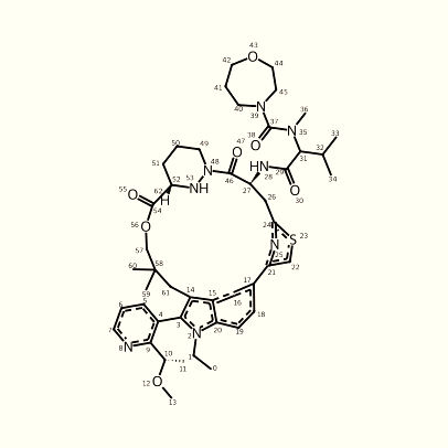 CCn1c(-c2cccnc2[C@H](C)OC)c2c3cc(ccc31)-c1csc(n1)C[C@H](NC(=O)C(C(C)C)N(C)C(=O)N1CCCOCC1)C(=O)N1CCC[C@H](N1)C(=O)OCC(C)(C)C2